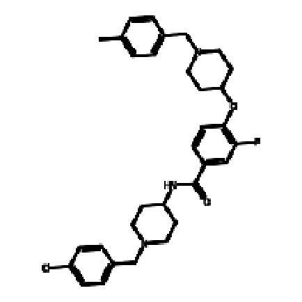 Cc1ccc(CN2CCC(Oc3ccc(C(=O)NC4CCN(Cc5ccc(Cl)cc5)CC4)cc3F)CC2)cc1